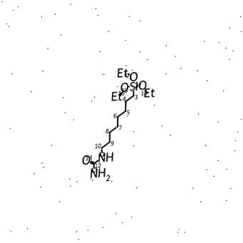 CCO[Si](CCCCCCCCNC(N)=O)(OCC)OCC